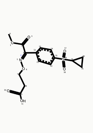 COC(=O)/C(=N/OCCC(=O)O)c1ccc(S(=O)(=O)C2CC2)cc1